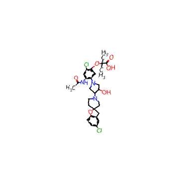 CC(=O)Nc1cc(Cl)c(OC(C)(C)C(=O)O)cc1N1CC(O)C(N2CCC3(CC2)Cc2cc(Cl)ccc2O3)C1